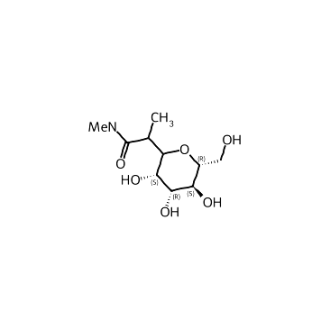 CNC(=O)C(C)C1O[C@H](CO)[C@@H](O)[C@H](O)[C@@H]1O